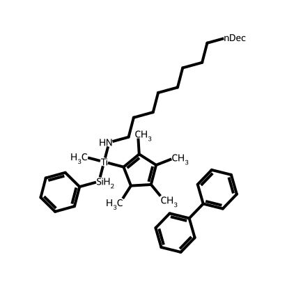 CCCCCCCCCCCCCCCCCC[NH][Ti]([CH3])([SiH2]c1ccccc1)[C]1=C(C)C(C)=C(C)C1C.c1ccc(-c2ccccc2)cc1